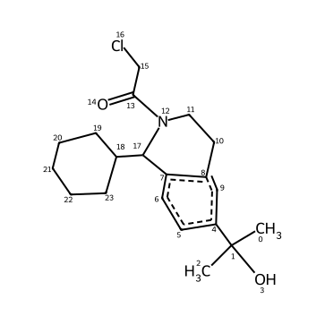 CC(C)(O)c1ccc2c(c1)CCN(C(=O)CCl)C2C1CCCCC1